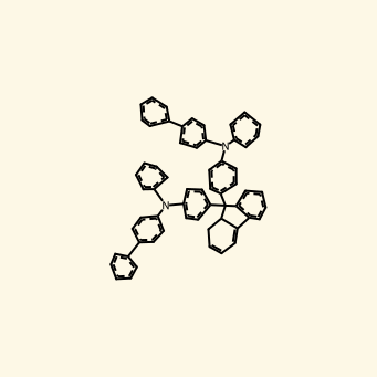 C1=CCC2C(=C1)c1ccccc1C2(c1ccc(N(c2ccccc2)c2ccc(-c3ccccc3)cc2)cc1)c1ccc(N(c2ccccc2)c2ccc(-c3ccccc3)cc2)cc1